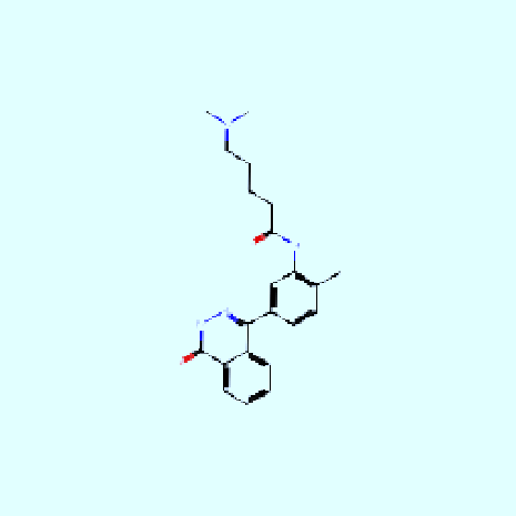 Cc1ccc(-c2n[nH]c(=O)c3ccccc23)cc1NC(=O)CCCCN(C)C